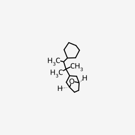 CC(C1CCCCC1)C(C)(C)C1C[C@H]2CC[C@@H](C1)O2